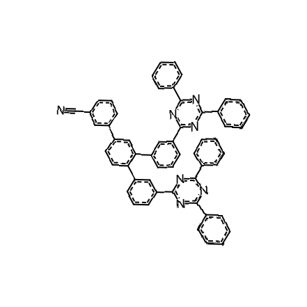 N#Cc1cccc(-c2ccc(-c3cccc(-c4nc(-c5ccccc5)nc(-c5ccccc5)n4)c3)c(-c3cccc(-c4nc(-c5ccccc5)nc(-c5ccccc5)n4)c3)c2)c1